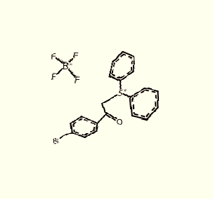 F[B-](F)(F)F.O=C(C[S+](c1ccccc1)c1ccccc1)c1ccc(Br)cc1